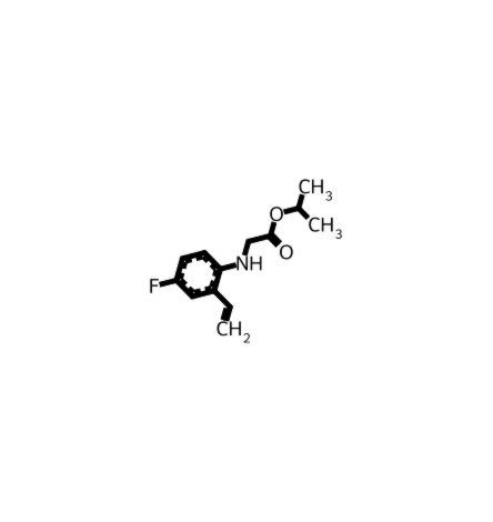 C=Cc1cc(F)ccc1NCC(=O)OC(C)C